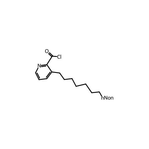 CCCCCCCCCCCCCCCCc1cccnc1C(=O)Cl